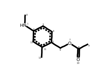 CNc1ccc(COC(C)=O)c(C)c1